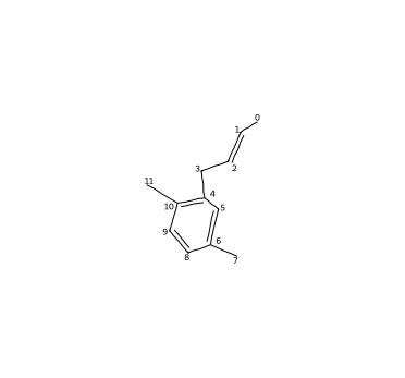 CC=CCc1cc(C)ccc1C